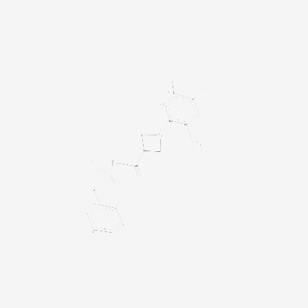 CCOC(=O)c1cc(C#N)c(N2CC(C(=O)NS(=O)(=O)Cc3ccccc3C(F)(F)F)C2)nc1C